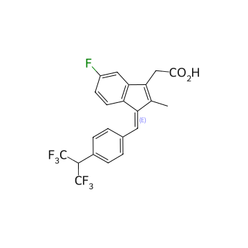 CC1=C(CC(=O)O)c2cc(F)ccc2/C1=C\c1ccc(C(C(F)(F)F)C(F)(F)F)cc1